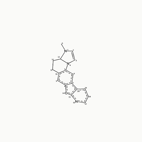 CN1C=CN2c3cc4c(cc3CCC12)oc1ncccc14